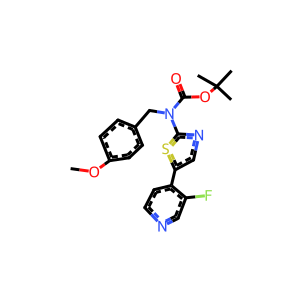 COc1ccc(CN(C(=O)OC(C)(C)C)c2ncc(-c3ccncc3F)s2)cc1